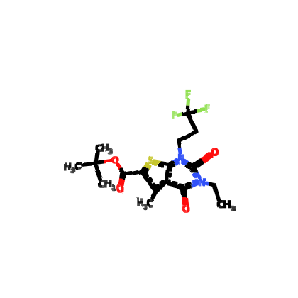 CCn1c(=O)c2c(C)c(C(=O)OC(C)(C)C)sc2n(CCC(F)(F)F)c1=O